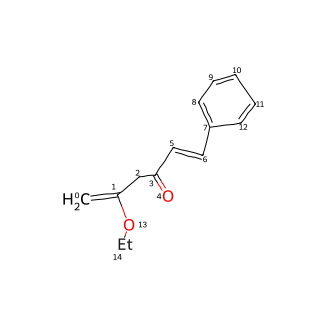 C=C(CC(=O)/C=C/c1ccccc1)OCC